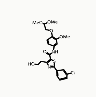 COc1cc(NC(=O)c2sc(-c3cccc(Cl)c3)nc2CCO)ccc1OCC(OC)OC